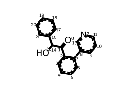 O=C(c1ccccc1-c1cccnc1)C(O)c1ccccc1